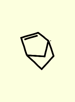 C1=CC2CC[C]1C2